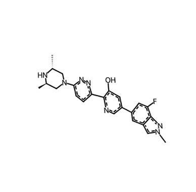 C[C@@H]1CN(c2ccc(-c3ncc(-c4cc(F)c5nn(C)cc5c4)cc3O)nn2)C[C@@H](C)N1